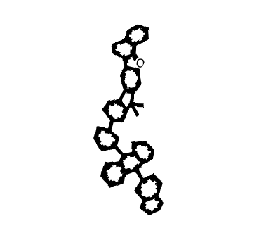 CC1(C)c2cc(-c3cccc(-c4c5ccccc5c(-c5ccc6ccccc6c5)c5ccccc45)c3)ccc2-c2cc3c(cc21)oc1c2ccccc2ccc31